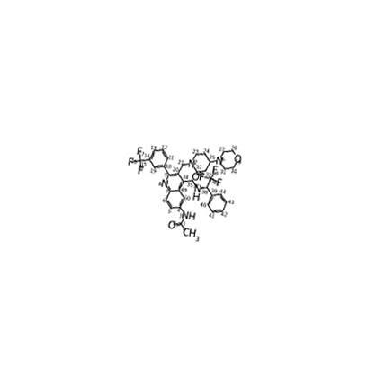 CC(=O)Nc1ccc2nc(-c3cccc(C(F)(F)F)c3)c(CN3CCC(N4CCOCC4)CC3)c(C(=O)N[C@H](c3ccccc3)C(F)(F)F)c2c1